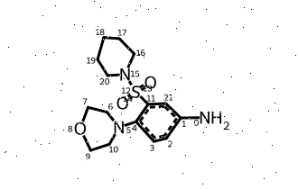 Nc1ccc(N2CCOCC2)c(S(=O)(=O)N2CCCCC2)c1